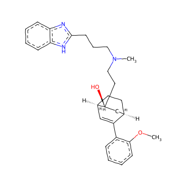 COc1ccccc1C1=C[C@H]2CC[C@@H]1C[C@@]2(O)CCN(C)CCCc1nc2ccccc2[nH]1